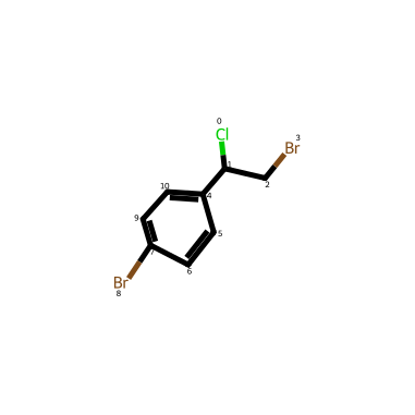 ClC(CBr)c1ccc(Br)cc1